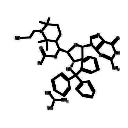 CC(C)C(=O)OC(C1CCC(C)(C)N(CCC#N)C1(C)C)[C@H]1O[C@@H](n2cnc3c(=O)[nH]c(N)nc32)C[C@@H]1NC(c1ccccc1)(c1ccccc1)c1ccccc1.NP(O)O